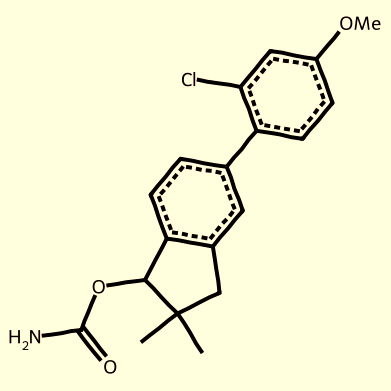 COc1ccc(-c2ccc3c(c2)CC(C)(C)C3OC(N)=O)c(Cl)c1